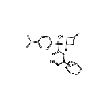 CC(C)c1ccc([C@](O)(c2cncc(N3C4CCC3CC4)c2)C2(C)CN(C)C2)cc1